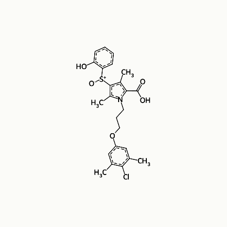 Cc1cc(OCCCn2c(C)c([S+]([O-])c3ccccc3O)c(C)c2C(=O)O)cc(C)c1Cl